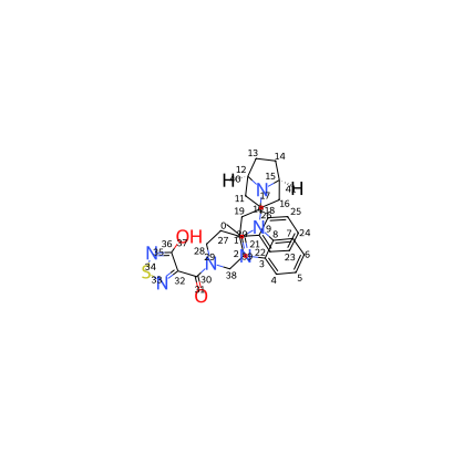 Cc1nc2ccccc2n1C1C[C@H]2CC[C@@H](C1)N2CCC1(c2ccccc2)CCN(C(=O)c2nsnc2O)CC1